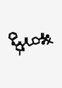 Cc1cc(Oc2ccccc2)nc(NCC2CCC(NS(=O)(=O)C(C)(C)C)CC2)n1